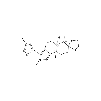 Cc1noc(-c2c3c(nn2C)[C@@]2(C)CCC4(OCCO4)[C@@H](C)[C@@H]2CC3)n1